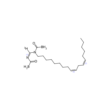 [3H]/C(=N/C(B)=O)N(CCCCCCCC/C=C\C/C=C\CCCCC)C(B)=O